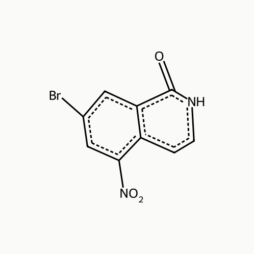 O=c1[nH]ccc2c([N+](=O)[O-])cc(Br)cc12